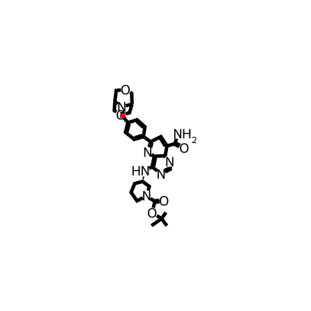 CC(C)(C)OC(=O)N1CCC[C@H](Nc2ncnc3c(C(N)=O)cc(-c4ccc(CN5C6COCC5COC6)cc4)nc23)C1